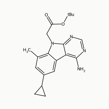 Cc1cc(C2CC2)cc2c3c(N)ncnc3n(CC(=O)OC(C)(C)C)c12